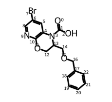 O=C(O)N1c2cc(Br)cnc2OCC1COCc1ccccc1